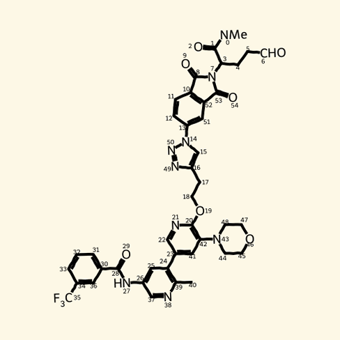 CNC(=O)C(CCC=O)N1C(=O)c2ccc(-n3cc(CCOc4ncc(-c5cc(NC(=O)c6cccc(C(F)(F)F)c6)cnc5C)cc4N4CCOCC4)nn3)cc2C1=O